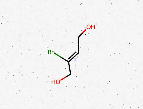 OC/C=C(\Br)CO